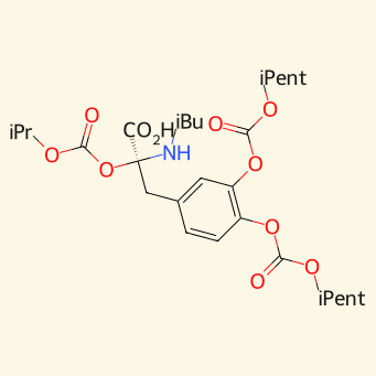 CCCC(C)OC(=O)Oc1ccc(C[C@](NC(C)CC)(OC(=O)OC(C)C)C(=O)O)cc1OC(=O)OC(C)CCC